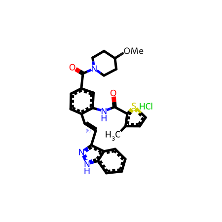 COC1CCN(C(=O)c2ccc(/C=C/c3n[nH]c4ccccc34)c(NC(=O)c3sccc3C)c2)CC1.Cl